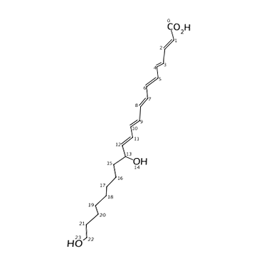 O=C(O)C=CC=CC=CC=CC=CC=CC(O)CCCCCCCCO